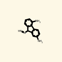 N=NC1c2cc(N)ccc2-c2c(N)cccc21